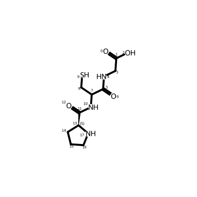 O=C(O)CNC(=O)C(CS)NC(=O)[C@@H]1CCCN1